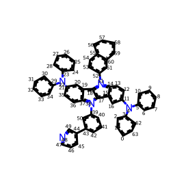 c1ccc(N(c2ccccc2)c2ccc3c(c2)c2c(c4cc(N(c5ccccc5)c5ccccc5)ccc4n2-c2cccc(-c4cccnc4)c2)n3-c2ccc3ccccc3c2)cc1